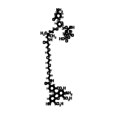 CC(C)(CNC(=O)CCOCCOCCOCCOCCNC(=O)c1ccc(-c2c3ccc(=N)c(S(=O)(=O)O)c-3oc3c(S(=O)(=O)O)c(N)ccc23)c(C(=O)O)c1)SSCO[C@@H]1C[C@H](n2ccc(N)nc2=O)O[C@@H]1COP(=O)(O)OP(=O)(O)OP(=O)(O)O